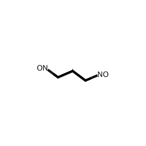 O=NC[CH]CN=O